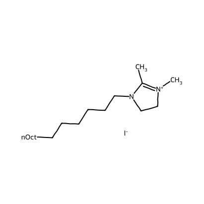 CCCCCCCCCCCCCCN1CC[N+](C)=C1C.[I-]